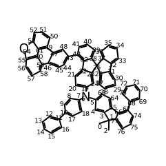 CC1(C)c2cc(N(c3ccc(-c4ccccc4)cc3)c3ccc4c(c3)C3(c5ccccc5-c5ccccc53)c3cccc(-c5ccc6c(c5)c5cccc7oc8cccc6c8c75)c3-4)ccc2-c2c(-c3ccccc3)cccc21